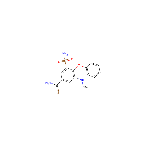 CCCCNc1cc(C(N)=S)cc(S(N)(=O)=O)c1Oc1ccccc1